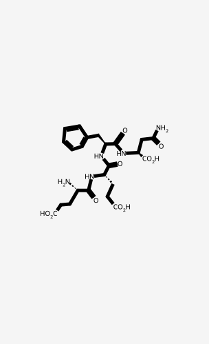 NC(=O)C[C@H](NC(=O)[C@H](Cc1ccccc1)NC(=O)[C@H](CCC(=O)O)NC(=O)[C@@H](N)CCC(=O)O)C(=O)O